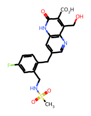 CS(=O)(=O)NCc1cc(F)ccc1Cc1cnc2c(CO)c(C(=O)O)c(=O)[nH]c2c1